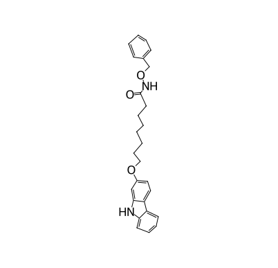 O=C(CCCCCCCOc1ccc2c(c1)[nH]c1ccccc12)NOCc1ccccc1